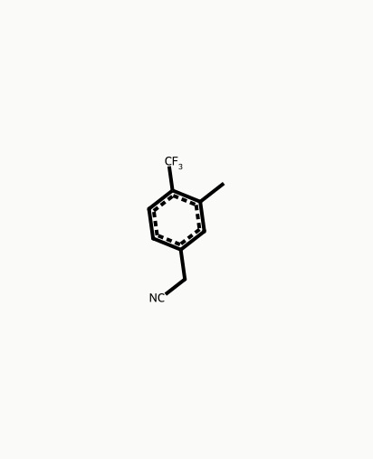 Cc1cc(CC#N)ccc1C(F)(F)F